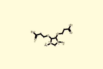 CCC(=O)CCOC1C(OCCC(=O)CC)N(C(C)=O)CN1C(C)=O